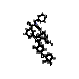 N#C/C(=C\C1CCOCC1)C(=O)N1CCC[C@H](n2nc(-c3ccc(Oc4cccc(F)c4F)cc3F)c3c(N)ncnc32)C1